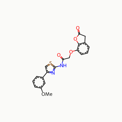 COc1cccc(-c2csc(NC(=O)COc3cccc4c3OC(=O)C4)n2)c1